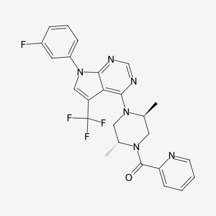 C[C@@H]1CN(c2ncnc3c2c(C(F)(F)F)cn3-c2cccc(F)c2)[C@@H](C)CN1C(=O)c1ccccn1